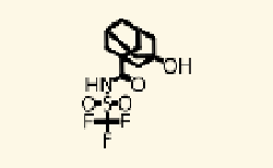 O=C(NS(=O)(=O)C(F)(F)F)C12CC3CC(CC(O)(C3)C1)C2